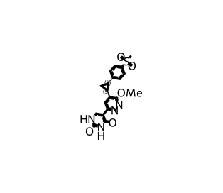 COc1nnc(-c2c[nH]c(=O)[nH]c2=O)cc1[C@H]1C[C@@H]1c1ccc(S(C)(=O)=O)cc1